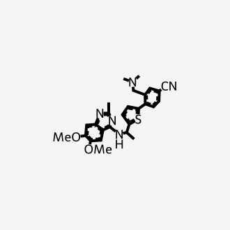 COc1cc2nc(C)nc(NC(C)c3ccc(-c4ccc(C#N)cc4CN(C)C)s3)c2cc1OC